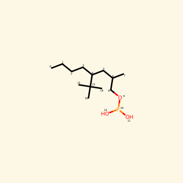 CCCCC(CC(C)COP(O)O)C(C)(C)C